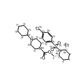 CC[C@@H]1CCC[C@H](COC(=O)N2CCN(C3CCCCC3)CC2)N1S(=O)(=O)c1ccc(Cl)cc1